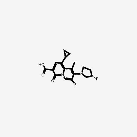 Cc1c(N2CC[C@H](F)C2)c(F)cn2c(=O)c(C(=O)O)cc(C3CC3)c12